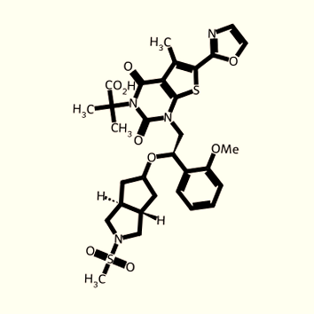 COc1ccccc1[C@H](Cn1c(=O)n(C(C)(C)C(=O)O)c(=O)c2c(C)c(-c3ncco3)sc21)OC1C[C@@H]2CN(S(C)(=O)=O)C[C@H]2C1